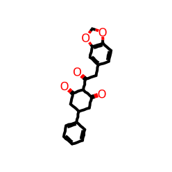 O=C(Cc1ccc2c(c1)OCO2)C1C(=O)CC(c2ccccc2)CC1=O